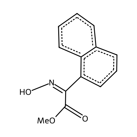 COC(=O)C(=NO)c1cccc2ccccc12